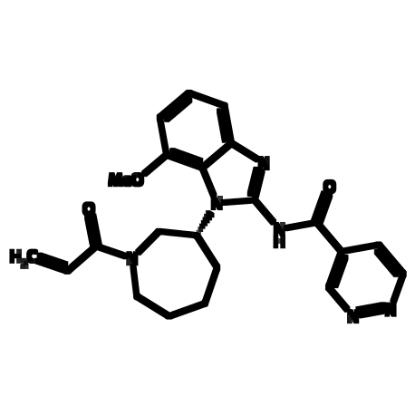 C=CC(=O)N1CCCC[C@@H](n2c(NC(=O)c3ccnnc3)nc3cccc(OC)c32)C1